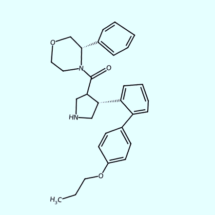 CCCOc1ccc(-c2ccccc2[C@@H]2CNCC2C(=O)N2CCOC[C@@H]2c2ccccc2)cc1